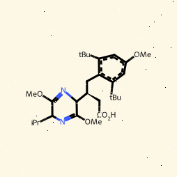 COC1=NC([C@H](CC(=O)O)Cc2c(C(C)(C)C)cc(OC)cc2C(C)(C)C)C(OC)=NC1C(C)C